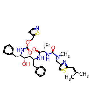 CC(C)=Cc1nc(CN(C)C(=O)N[C@H](C(=O)N[C@@H](Cc2ccccc2)C[C@H](O)[C@H](Cc2ccccc2)NC(=O)OCc2ccns2)C(C)C)cs1